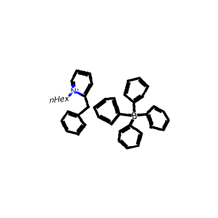 CCCCCC[n+]1ccccc1Cc1ccccc1.c1ccc([B-](c2ccccc2)(c2ccccc2)c2ccccc2)cc1